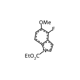 CCOC(=O)n1ccc2c(F)c(OC)ccc21